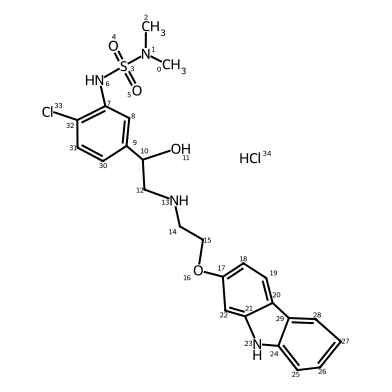 CN(C)S(=O)(=O)Nc1cc(C(O)CNCCOc2ccc3c(c2)[nH]c2ccccc23)ccc1Cl.Cl